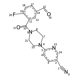 N#Cc1ccc(N2CCN(C(=O)c3cc(C=O)ccc3F)CC2)nc1